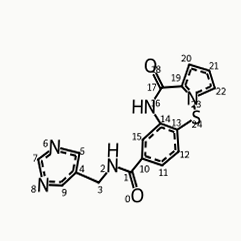 O=C(NCc1cncnc1)c1ccc2c(c1)NC(=O)c1cccn1S2